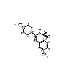 CN1CCN(C2=Nc3cc(C(F)(F)F)ccc3S(=O)(=O)N2)CC1